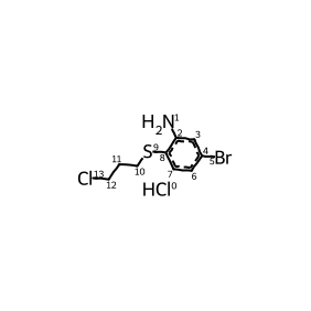 Cl.Nc1cc(Br)ccc1SCCCCl